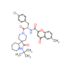 Cc1ccc2oc(C(=O)N[C@H](Cc3ccc(Cl)cc3)C(=O)N3CCC(C(=O)NC(C)(C)C)(C4CCCCC4)CC3)cc(=O)c2c1